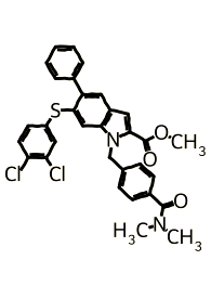 COC(=O)c1cc2cc(-c3ccccc3)c(Sc3ccc(Cl)c(Cl)c3)cc2n1Cc1ccc(C(=O)N(C)C)cc1